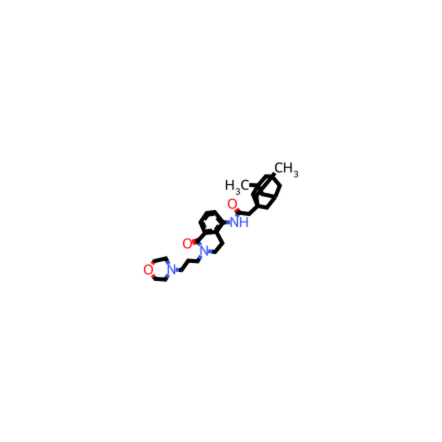 CC12CC3CC(C)(C1)CC(CC(=O)Nc1cccc4c1CCN(CCCN1CCOCC1)C4=O)(C3)C2